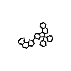 c1ccc(C2(c3ccccc3)c3cc(-c4ccc5ccc6cccnc6c5n4)ccc3-c3c2ccc2ccccc32)cc1